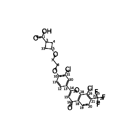 O=C(O)C1CC(OCCOc2ccc(-c3cc(=O)c4ccc(C(F)(F)F)c(Cl)c4o3)cc2Cl)C1